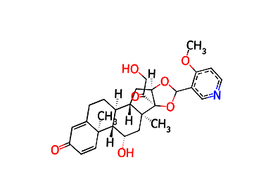 COc1ccncc1C1O[C@@H]2C[C@H]3[C@@H]4CCC5=CC(=O)C=C[C@]5(C)[C@H]4[C@@H](O)C[C@]3(C)[C@]2(C(=O)CO)O1